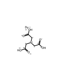 O=C(O)CN(CC(=O)O)CC(=O)O.[Dy]